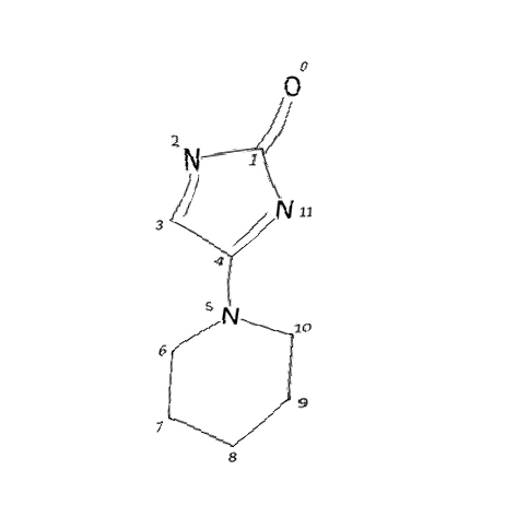 O=C1N=CC(N2CCCCC2)=N1